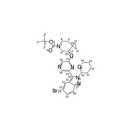 CC(C)(C)OC(=O)N1CCC2(CC2)[C@@H](Oc2cncc(-c3c4cc(Br)ccc4nn3C3CCCCO3)n2)C1